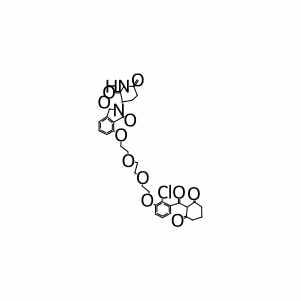 O=C1CCC(N2C(=O)c3cccc(OCCOCCOCCOc4cccc(C(=O)C5C(=O)CCCC5=O)c4Cl)c3C2=O)C(=O)N1